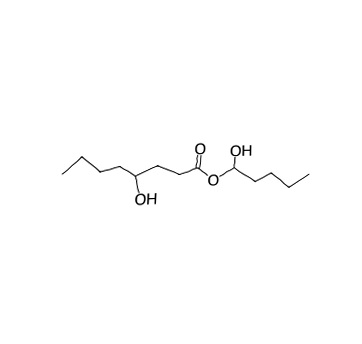 CCCCC(O)CCC(=O)OC(O)CCCC